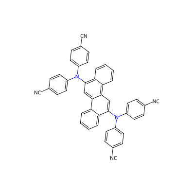 [C-]#[N+]c1ccc(N(c2ccc([N+]#[C-])cc2)c2cc3c4ccccc4c(N(c4ccc(C#N)cc4)c4ccc(C#N)cc4)cc3c3ccccc23)cc1